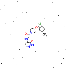 O=C(CNc1ccn[nH]c1=O)N1CCC(Oc2cc(C(F)(F)F)ccc2Cl)CC1